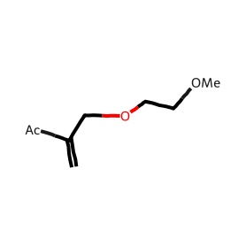 C=C(COCCOC)C(C)=O